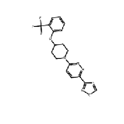 FC(F)(F)c1ccccc1OC1CCN(c2ccc(-c3ncon3)nn2)CC1